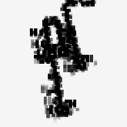 CC(=O)OC/C=C(C)/C=C/C=C(C)/C=C/C1=C(C)CCCC1(C)C.CC1=C(/C=C/C(C)=C/C=C/C(C)=C/CO)C(C)(C)CC=C1.CCCCC/C=C\C/C=C\CCCCCCCC(=O)OC(=O)/C=C(C)/C=C/C=C(C)/C=C/C1=C(C)CCCC1(C)C.CCCCCCCCCCCCCCCC(=O)OC/C=C(C)/C=C/C=C(C)/C=C/C1=C(C)CCCC1(C)C